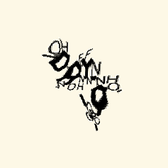 CCOP(=O)(Cc1ccc(Nc2ncc(C(F)(F)F)c(Nc3ccc([C@H]4CC[C@@](C)(O)CC4)c4c3C(=O)N(C)C4)n2)c(OC)c1)OCC